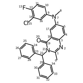 Cc1nc2ccc(N(C)c3ccc(F)c(Cl)c3)cc2c(=O)n1C(c1ccccc1)c1ccccc1